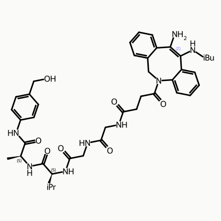 CCC(C)N/C1=C(\N)c2ccccc2CN(C(=O)CCC(=O)NCC(=O)NCC(=O)N[C@H](C(=O)N[C@@H](C)C(=O)Nc2ccc(CO)cc2)C(C)C)c2ccccc21